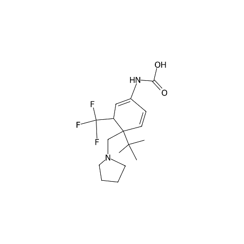 CC(C)(C)C1(CN2CCCC2)C=CC(NC(=O)O)=CC1C(F)(F)F